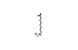 C=C(C)CCCCCCCN